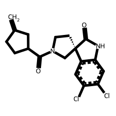 C=C1CCC(C(=O)N2CC[C@]3(C2)C(=O)Nc2cc(Cl)c(Cl)cc23)C1